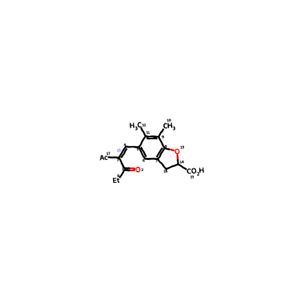 CCC(=O)/C(=C\c1cc2c(c(C)c1C)OC(C(=O)O)C2)C(C)=O